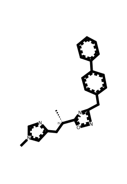 C[C@@H](Cc1cn(C)cn1)c1nc(Cc2ccc(-c3ccccc3)cc2)no1